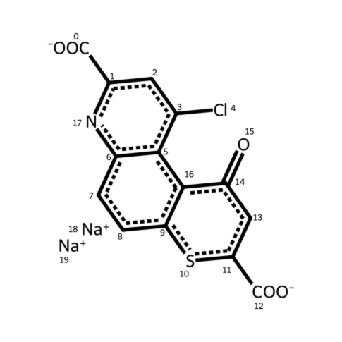 O=C([O-])c1cc(Cl)c2c(ccc3sc(C(=O)[O-])cc(=O)c32)n1.[Na+].[Na+]